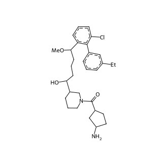 CCc1cccc(-c2c(Cl)cccc2C(CCCC(O)C2CCCN(C(=O)C3CCC(N)C3)C2)OC)c1